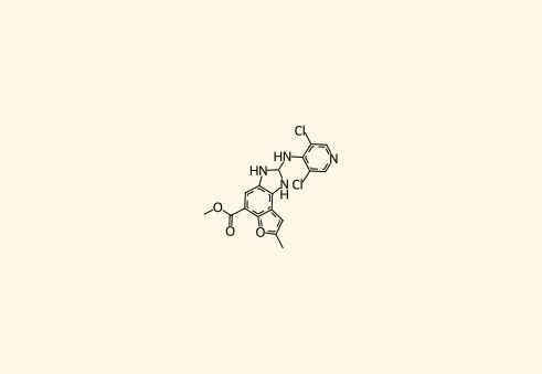 COC(=O)c1cc2c(c3cc(C)oc13)NC(Nc1c(Cl)cncc1Cl)N2